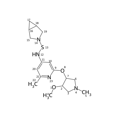 COC1CN(C)CC1Oc1cc(NSN2CC3CC3C2)cc(C)n1